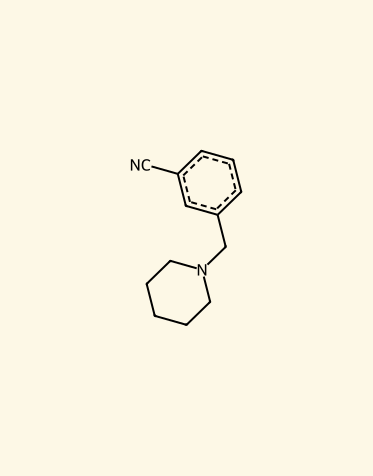 N#Cc1cccc(CN2CCCCC2)c1